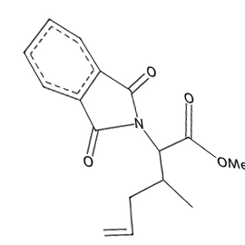 C=CCC(C)C(C(=O)OC)N1C(=O)c2ccccc2C1=O